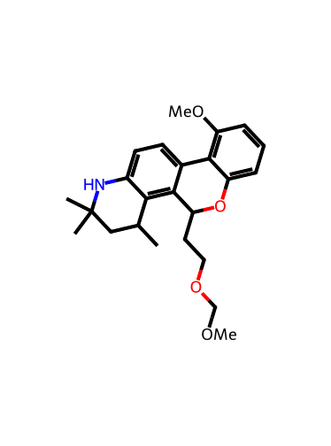 COCOCCC1Oc2cccc(OC)c2-c2ccc3c(c21)C(C)CC(C)(C)N3